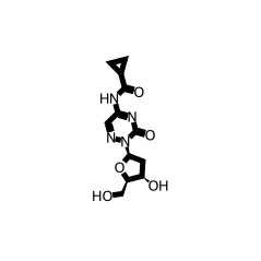 O=C(Nc1cnn([C@H]2C[C@H](O)[C@@H](CO)O2)c(=O)n1)C1CC1